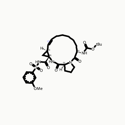 COc1cccc(S(=O)(=O)NC(=O)[C@@]23C[C@H]2/C=C\CCCCC[C@H](NC(=O)OC(C)(C)C)C(=O)N2CCC[C@H]2C(=O)N3)c1